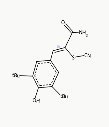 CC(C)(C)c1cc(/C=C(\SC#N)C(N)=O)cc(C(C)(C)C)c1O